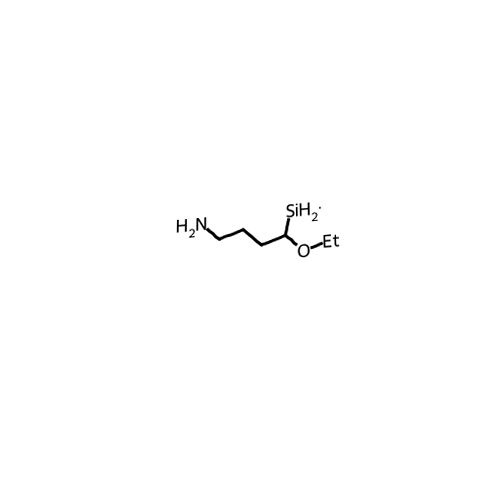 CCOC([SiH2])CCCN